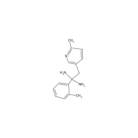 Cc1ccc(CC(N)(N)c2ccccc2C)cn1